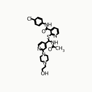 CC(=O)NC(Sc1ncccc1C(=O)Nc1ccc(Cl)cc1)c1ccnc(N2CCN(CCO)CC2)c1